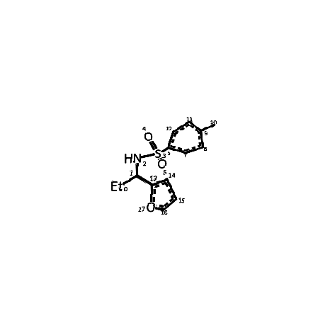 CCC(NS(=O)(=O)c1ccc(C)cc1)c1ccco1